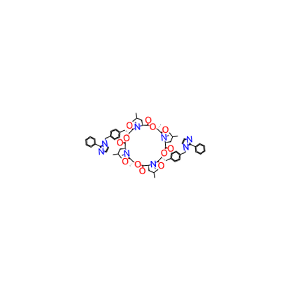 CC(C)C[C@H]1C(=O)O[C@H](Cc2ccc(Cn3ccnc3-c3ccccc3)cc2)C(=O)N(C)[C@@H](CC(C)C)C(=O)O[C@H](C)C(=O)N(C)[C@@H](CC(C)C)C(=O)O[C@H](Cc2ccc(Cn3ccnc3-c3ccccc3)cc2)C(=O)N(C)[C@@H](CC(C)C)C(=O)O[C@H](C)C(=O)N1C